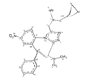 CCCN(Cc1nnc(CN(C)C)n1-c1ccc([N+](=O)[O-])cc1C(=O)c1ccccc1)CC1CC1